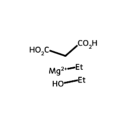 CCO.C[CH2][Mg+2].O=C(O)CC(=O)O